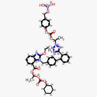 CCOc1nc2cccc(C(=O)OC(C)OC(=O)OC3CCCCC3)c2n1Cc1ccc(-c2ccccc2-c2nnn(C(C)OC(=O)Oc3ccc(CON(O)O)cc3)n2)cc1